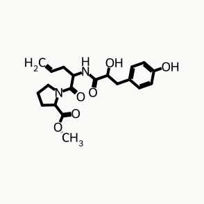 C=CCC(NC(=O)C(O)Cc1ccc(O)cc1)C(=O)N1CCCC1C(=O)OC